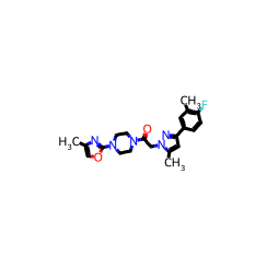 Cc1coc(N2CCN(C(=O)Cn3nc(-c4ccc(F)c(C)c4)cc3C)CC2)n1